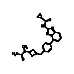 CC(=O)N(C)C1CN(Cc2ccc(-c3cccc4nc(NC(=O)C5CC5)nn34)cc2)C1